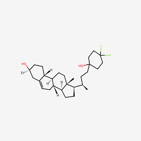 CC[C@]1(O)CC[C@H]2C(=CC[C@@H]3[C@@H]2CC[C@]2(C)[C@@H]([C@H](C)CCC4(O)CCC(F)(F)CC4)CC[C@@H]32)C1